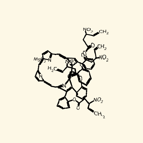 C=CC(CC(=O)Oc1ccccc1C1=CC2=CC3=NC(=CC4=NC(=CC5=NC(=C(c6ccccc6OC(=O)CC(C=C)[N+](=O)[O-])C1=N2)C(c1ccccc1OC(=O)CC(C=C)[N+](=O)[O-])=C5c1ccccc1OC(=O)CC(C=C)[N+](=O)[O-])C=C4)C=C3)[N+](=O)[O-].[MgH2]